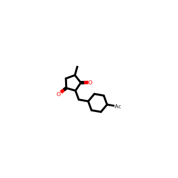 CC(=O)C1CCC(CC2C(=O)CC(C)C2=O)CC1